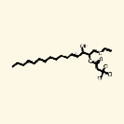 CCCCCCCCCCC/C=C/C(O)C(COCC)OC(=O)CC(Cl)(Cl)Cl